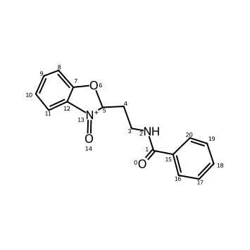 O=C(NCCC1Oc2ccccc2[N+]1=O)c1ccccc1